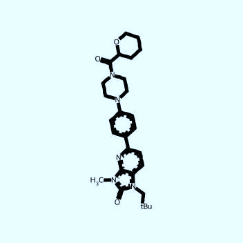 Cn1c(=O)n(CC(C)(C)C)c2ccc(-c3ccc(N4CCN(C(=O)C5CCCCO5)CC4)cc3)nc21